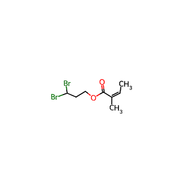 CC=C(C)C(=O)OCCC(Br)Br